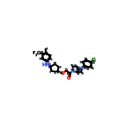 Cc1ccc(NC2CCC(OCC(=O)N3CC4CC3CN4c3ccc(Cl)cc3)CC2)cc1C(F)(F)F